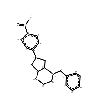 O=[N+]([O-])c1ccc(N2CC3OCCN(Cc4ccccc4)C3C2)cn1